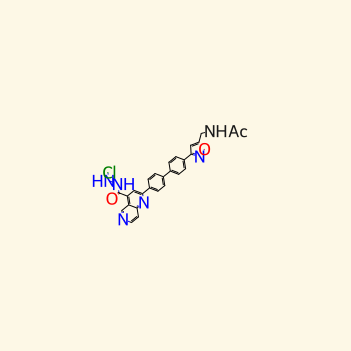 CC(=O)NCc1cc(-c2ccc(-c3ccc(-c4cc(C(=O)NNCl)c5cnccc5n4)cc3)cc2)no1